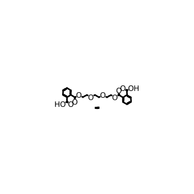 C=C.O=C(O)c1ccccc1C(=O)OCCOCCOCCOC(=O)c1ccccc1C(=O)O